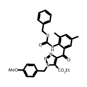 CCOC(=O)c1c(C(=O)c2cc(C)cc(C)c2NC(=O)OCc2ccccc2)nnn1Cc1ccc(OC)cc1